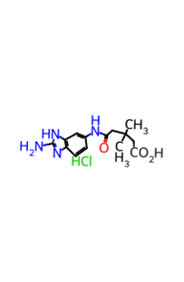 CC(C)(CC(=O)O)CC(=O)Nc1ccc2nc(N)[nH]c2c1.Cl